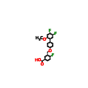 COc1cc(F)c(F)cc1-c1ccc(OCc2cc(C(=O)O)ccc2F)cc1